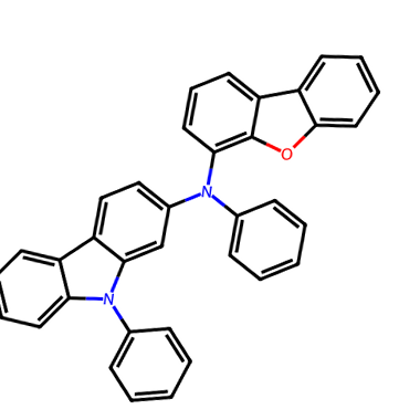 c1ccc(N(c2ccc3c4ccccc4n(-c4ccccc4)c3c2)c2cccc3c2oc2ccccc23)cc1